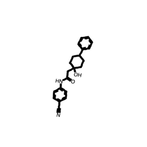 N#Cc1ccc(NC(=O)CC2(O)CCC(c3ccccc3)CC2)cc1